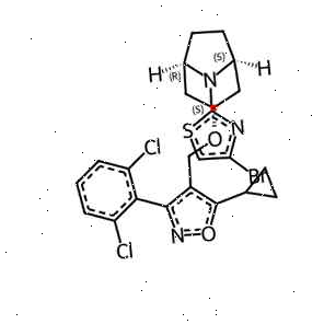 Clc1cccc(Cl)c1-c1noc(C2CC2)c1CO[C@@H]1C[C@H]2CC[C@@H](C1)N2c1nc(Br)cs1